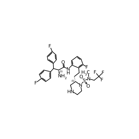 CN(CC(F)(F)F)S(=O)(=O)N1CCNC[C@@H]1CCc1c(F)cccc1NC(=O)[C@@H](N)C(c1ccc(F)cc1)c1ccc(F)cc1